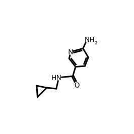 Nc1ccc(C(=O)NCC2CC2)cn1